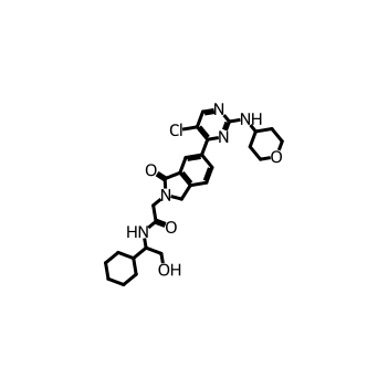 O=C(CN1Cc2ccc(-c3nc(NC4CCOCC4)ncc3Cl)cc2C1=O)NC(CO)C1CCCCC1